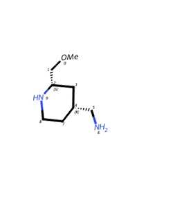 COC[C@@H]1C[C@H](CN)CCN1